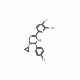 COc1nc(C2=NO[C@H](C3CC3)[C@H](c3ccc(Cl)cc3)N2)ccc1Br